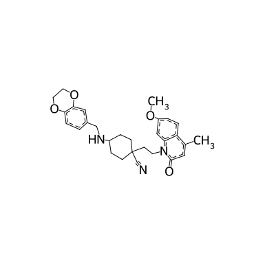 COc1ccc2c(C)cc(=O)n(CCC3(C#N)CCC(NCc4ccc5c(c4)OCCO5)CC3)c2c1